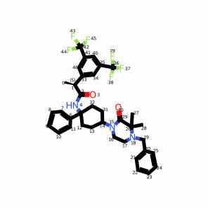 C[C@H](C(=O)NC1(c2ccccc2)CCC(N2CCN(Cc3ccccc3)C(C)(C)C2=O)CC1)c1cc(C(F)(F)F)cc(C(F)(F)F)c1